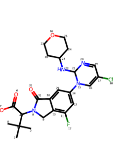 CC(C)(C)C(C(=O)O)N1Cc2c(F)cc(N3C=C(Cl)C=NC3NC3CCOCC3)cc2C1=O